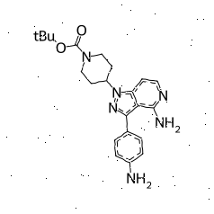 CC(C)(C)OC(=O)N1CCC(n2nc(-c3ccc(N)cc3)c3c(N)nccc32)CC1